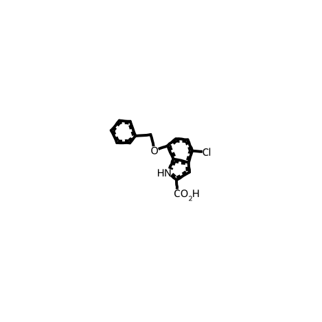 O=C(O)c1cc2c(Cl)ccc(OCc3ccccc3)c2[nH]1